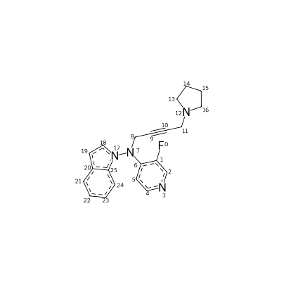 Fc1cnccc1N(CC#CCN1CCCC1)n1ccc2ccccc21